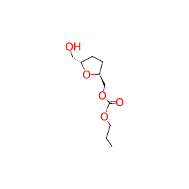 CCCOC(=O)OC[C@@H]1CC[C@@H](CO)O1